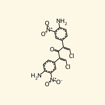 Nc1ccc(C(=CCl)C(=O)C(=CCl)c2ccc(N)c([N+](=O)[O-])c2)cc1[N+](=O)[O-]